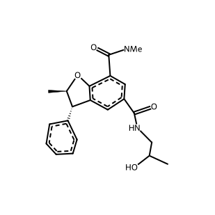 CNC(=O)c1cc(C(=O)NCC(C)O)cc2c1O[C@H](C)[C@H]2c1ccccc1